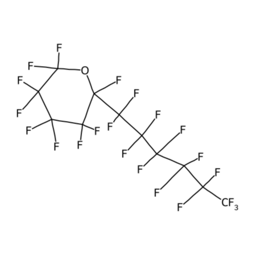 FC(F)(F)C(F)(F)C(F)(F)C(F)(F)C(F)(F)C(F)(F)C1(F)OC(F)(F)C(F)(F)C(F)(F)C1(F)F